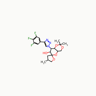 CC1COC2(C1)OC1COC(C)(C)OC1C(n1cc(-c3cc(F)c(F)c(F)c3)nn1)C2O